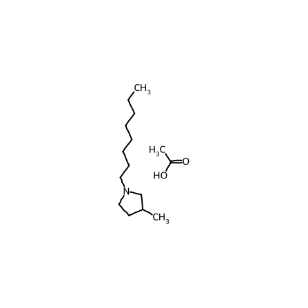 CC(=O)O.CCCCCCCCN1CCC(C)C1